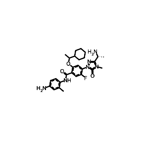 Cc1cc(N)ccc1NC(=O)c1cc(F)c(-n2nc([C@@H](C)N)n(C)c2=O)cc1OC(C)C1CCCCC1